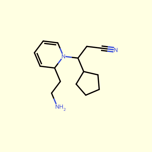 N#CCC(C1CCCC1)N1C=CC=CC1CCN